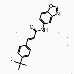 CC(C)(C)c1ccc(/C=C/C(=O)Nc2ccc3ocnc3c2)cc1